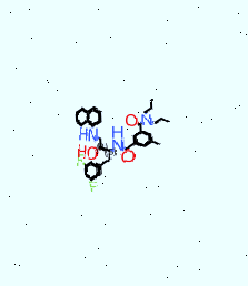 CCCN(CCC)C(=O)c1cc(C)cc(C(=O)N[C@@H](Cc2cc(F)cc(F)c2)[C@H](O)CNc2cccc3ccccc23)c1